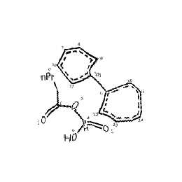 CCCC(=O)O[PH](=O)O.c1ccc(-c2ccccc2)cc1